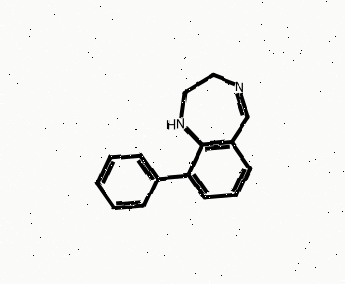 C1=NCCNc2c1cccc2-c1ccccc1